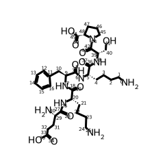 NCCCC[C@H](NC(=O)[C@H](Cc1ccccc1)NC(=O)[C@H](CCCCN)NC(=O)[C@@H](N)CCC(=O)O)C(=O)N[C@@H](CO)C(=O)N1CCC[C@H]1C(=O)O